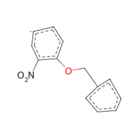 O=[N+]([O-])c1c[c]ccc1OCc1ccccc1